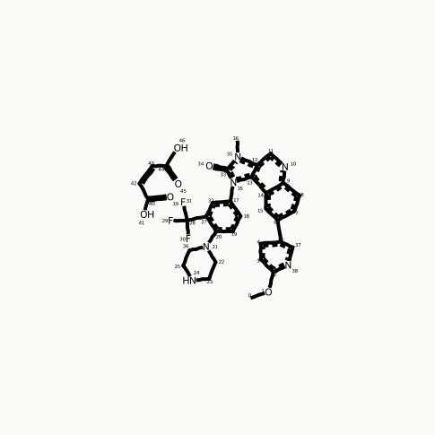 COc1ccc(-c2ccc3ncc4c(c3c2)n(-c2ccc(N3CCNCC3)c(C(F)(F)F)c2)c(=O)n4C)cn1.O=C(O)/C=C\C(=O)O